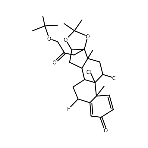 CC(C)(C)OCC(=O)CC12OC(C)(C)OC1CC1C3CC(F)C4=CC(=O)C=CC4(C)C3(Cl)C(Cl)CC12C